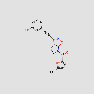 Cc1ccc(C(=O)N2CCC3C(C#Cc4cccc(Cl)c4)=NOC32)o1